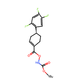 CC(C)(C)OC(=O)NOC(=O)C1=CC[C@@H](c2cc(F)c(F)cc2F)CC1